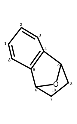 [c]1cccc2c1C1CCC2O1